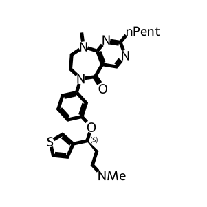 CCCCCc1ncc2c(n1)N(C)CCN(c1cccc(O[C@@H](CCNC)c3ccsc3)c1)C2=O